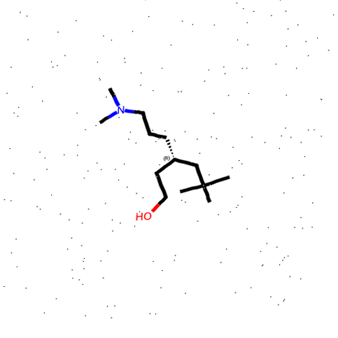 CN(C)CCC[C@@H](CCO)CC(C)(C)C